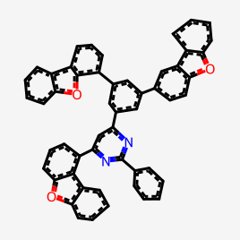 c1ccc(-c2nc(-c3cc(-c4ccc5oc6ccccc6c5c4)cc(-c4cccc5c4oc4ccccc45)c3)cc(-c3cccc4oc5ccccc5c34)n2)cc1